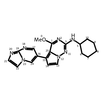 COc1nc(NC2CCCCC2)nn2ccc(-c3cnc4nccn4c3)c12